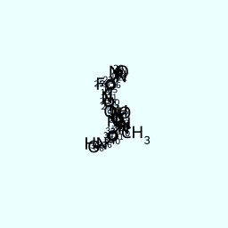 Cn1nc2c(=O)n(CC3(O)CCN(Cc4ccc(-c5ncon5)cc4F)CC3)cnc2c1-c1ccc(CNC=O)cc1